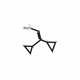 COC=C(C1CC1)C1CC1